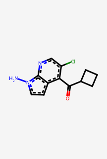 Nn1ccc2c(C(=O)C3CCC3)c(Cl)cnc21